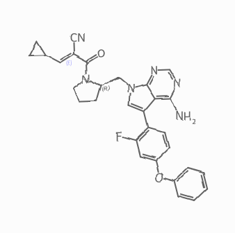 N#C/C(=C\C1CC1)C(=O)N1CCC[C@@H]1Cn1cc(-c2ccc(Oc3ccccc3)cc2F)c2c(N)ncnc21